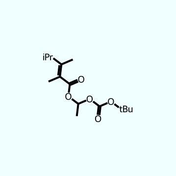 C/C(C(=O)OC(C)OC(=O)OC(C)(C)C)=C(/C)C(C)C